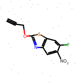 C#CCOc1nc2cc([N+](=O)[O-])c(F)cc2s1